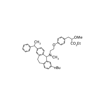 CCCCc1ccc2c(c1)C(N(C)CCOc1ccc(CC(OC)C(=O)OCC)cc1)c1ccc(C(C)c3ccccc3)cc1CC2